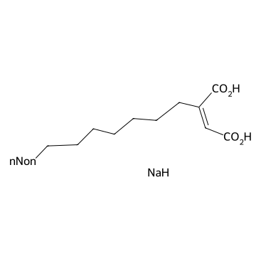 CCCCCCCCCCCCCCCCC(=CC(=O)O)C(=O)O.[NaH]